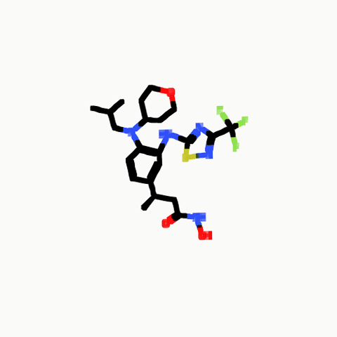 CC(C)CN(c1ccc([C@H](C)CC(=O)NO)cc1Nc1nc(C(F)(F)F)ns1)C1CCOCC1